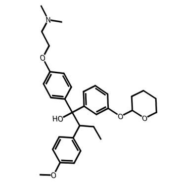 CCC(c1ccc(OC)cc1)C(O)(c1ccc(OCCN(C)C)cc1)c1cccc(OC2CCCCO2)c1